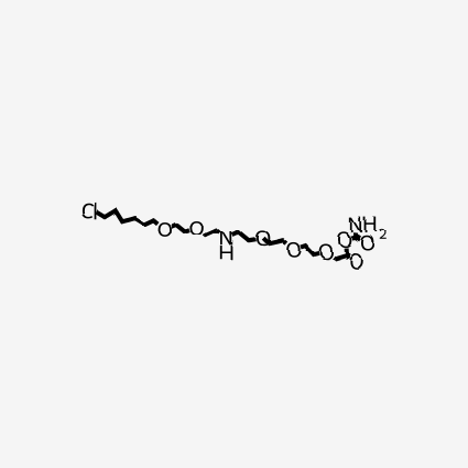 NC(=O)OC(=O)COCCOCCOCCNCCOCCOCCCCCCCl